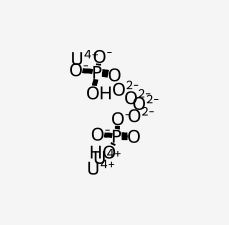 O=P([O-])([O-])O.O=P([O-])([O-])O.[O-2].[O-2].[O-2].[O-2].[U+4].[U+4].[U+4]